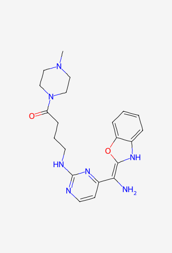 CN1CCN(C(=O)CCCNc2nccc(/C(N)=C3/Nc4ccccc4O3)n2)CC1